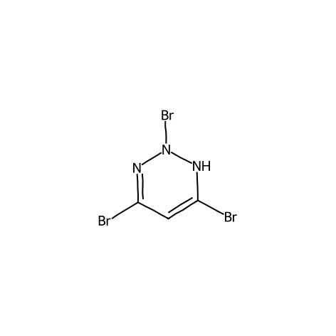 BrC1=CC(Br)=NN(Br)N1